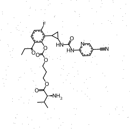 CCC(=O)c1ccc(F)c(C2CC2NC(=O)Nc2ccc(C#N)cn2)c1OC(=O)OCCCOC(=O)[C@@H](N)C(C)C